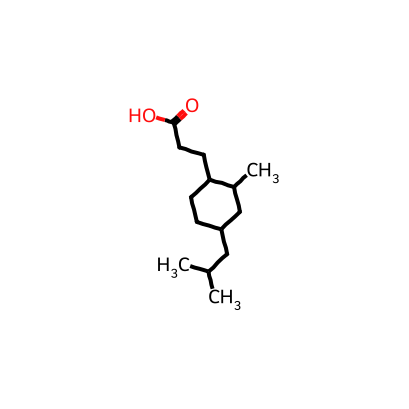 CC(C)CC1CCC(CCC(=O)O)C(C)C1